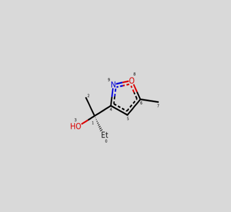 CC[C@@](C)(O)c1cc(C)on1